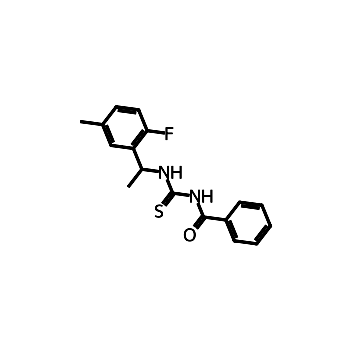 Cc1ccc(F)c(C(C)NC(=S)NC(=O)c2ccccc2)c1